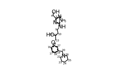 Cn1nc(CO)nc1NCCC(O)COc1cccc(CN2CCCCC2)c1